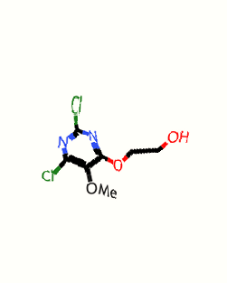 COc1c(Cl)nc(Cl)nc1OCCO